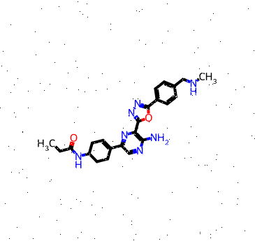 CCC(=O)NC1CC=C(c2cnc(N)c(-c3nnc(-c4ccc(CNC)cc4)o3)n2)CC1